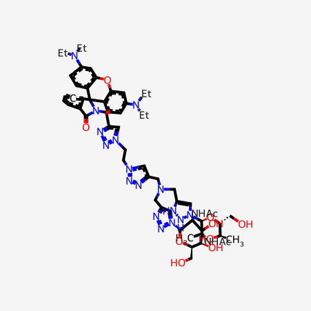 CCN(CC)c1ccc2c(c1)Oc1cc(N(CC)CC)ccc1C21c2ccccc2C(=O)N1Cc1cn(CCn2cc(CN(CC3=CN([C@@H](O[C@H](CO)[C@@H](C)O)C(C)NC(C)=O)NN3)Cc3cn([C@@H]4O[C@H](CO)[C@H](O)C(O)C4NC(C)=O)nn3)nn2)nn1